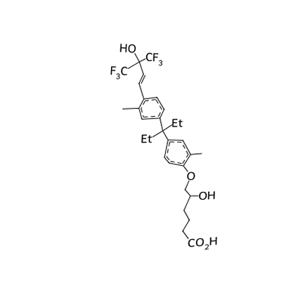 CCC(CC)(c1ccc(/C=C/C(O)(C(F)(F)F)C(F)(F)F)c(C)c1)c1ccc(OCC(O)CCCC(=O)O)c(C)c1